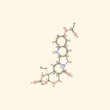 CC[C@@]1(OC(C)=O)C(=O)OCc2c1cc1n(c2=O)Cc2cc3cc(OC(C)=O)ccc3nc2-1